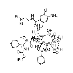 CC(=O)O[C@@]12CO[C@@H]1C[C@H](O)[C@@]1(C)C(=O)[C@H](O)C3=C(C)[C@@H](OC(=O)[C@H](O)[C@@H](NC(=O)OC(C)(C)C)c4ccccc4)C[C@@](O)([C@@H](OC(=O)c4ccccc4)[C@H]21)C3(C)C.CCN(CC)CCNC(=O)c1cc(Cl)c(N)cc1CO